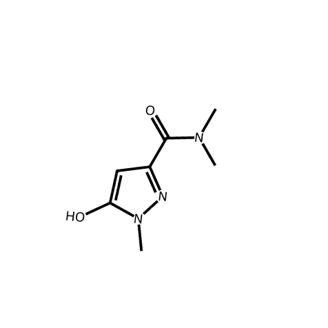 CN(C)C(=O)c1cc(O)n(C)n1